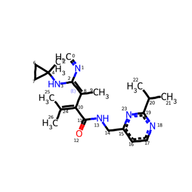 C=N/C(NC1(C)CC1)=C(\C)C(C(=O)NCc1ccnc(C(C)C)n1)=C(C)C